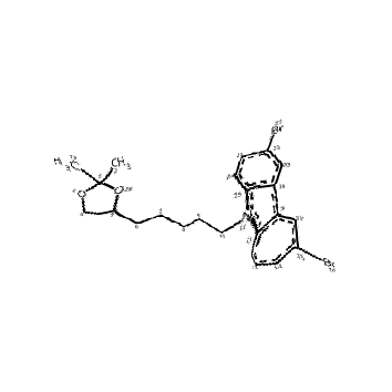 CC1(C)OCC(CCCCCn2c3ccc(Br)cc3c3cc(Br)ccc32)O1